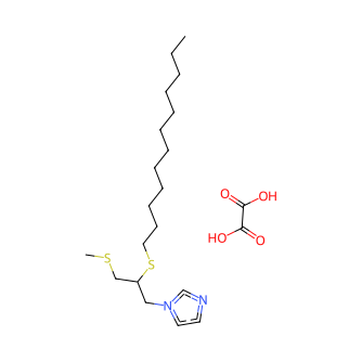 CCCCCCCCCCCCSC(CSC)Cn1ccnc1.O=C(O)C(=O)O